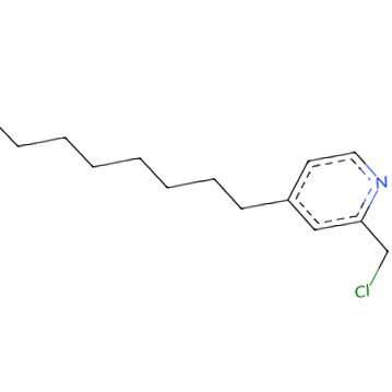 CCCCCCCCc1ccnc(CCl)c1